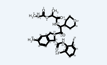 CNC(=O)OC(C)C(=O)NC(C(=O)N1Cc2cc(N)ccc2[C@H]1C(=O)Nc1c(F)cccc1F)C1CCOCC1